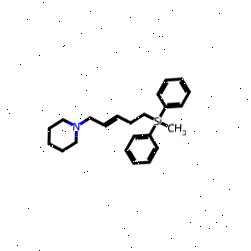 C[Si](CCC=CCN1CCCCC1)(c1ccccc1)c1ccccc1